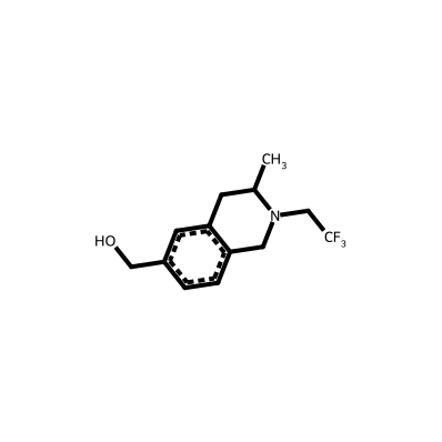 CC1Cc2cc(CO)ccc2CN1CC(F)(F)F